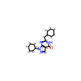 O=c1[nH]c(CC2CCCCC2)nc2c1cnn2C1CCCCC1